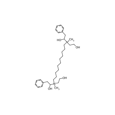 C[N+](CCO)(CCCCCCCCCCC[N+](C)(CCO)C(O)Cc1ccccc1)C(O)Cc1ccccc1